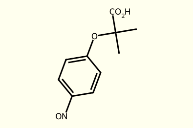 CC(C)(Oc1ccc(N=O)cc1)C(=O)O